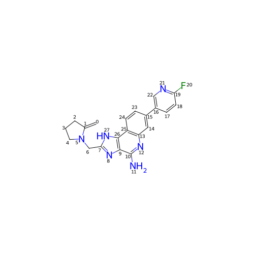 C=C1CCCN1Cc1nc2c(N)nc3cc(-c4ccc(F)nc4)ccc3c2[nH]1